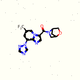 O=C(c1cnc2c(-n3cncn3)cc(C(F)(F)F)cn12)N1CC2CC1CO2